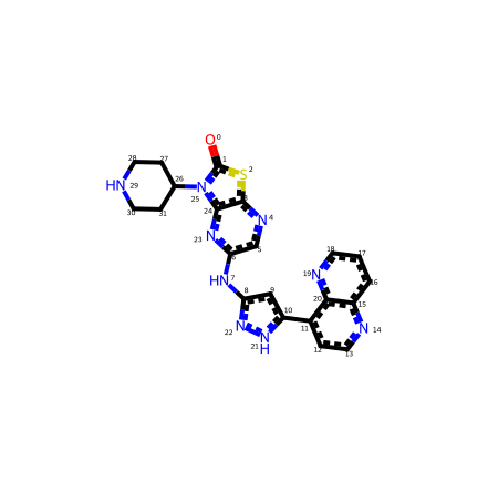 O=c1sc2ncc(Nc3cc(-c4ccnc5cccnc45)[nH]n3)nc2n1C1CCNCC1